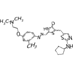 Cc1cc(OCCN(C)C)ccc1N=NC=c1[nH]c(=O)c(=Cc2cnc(NC3CCCC3)s2)s1